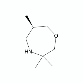 C[C@@H]1CNC(C)(C)COC1